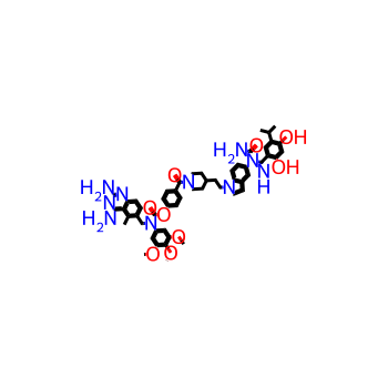 COc1cc(N(Cc2ccc3nc(N)nc(N)c3c2C)C(=O)Oc2ccc(C(=O)N3CCC(CCn4ccc5cc(N(C(=N)c6cc(C(C)C)c(O)cc6O)C(N)=O)ccc54)CC3)cc2)cc(OC)c1OC